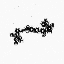 COc1cc(N2CCC(N3CCN(S(=O)(=O)CCC=Cc4cccc5c4CN(C4CCC(=O)NC4=O)C5=C=O)CC3)CC2)ccc1Nc1ncc(Cl)c(Nc2ccccc2P(C)C)n1